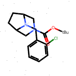 CC(C)(C)OC(=O)N1CC2CCC(C1)N2Cc1ccccc1Cl